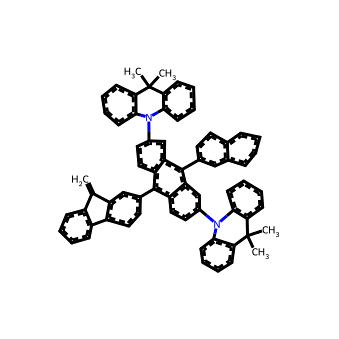 C=C1c2ccccc2-c2ccc(-c3c4ccc(N5c6ccccc6C(C)(C)c6ccccc65)cc4c(-c4ccc5ccccc5c4)c4cc(N5c6ccccc6C(C)(C)c6ccccc65)ccc34)cc21